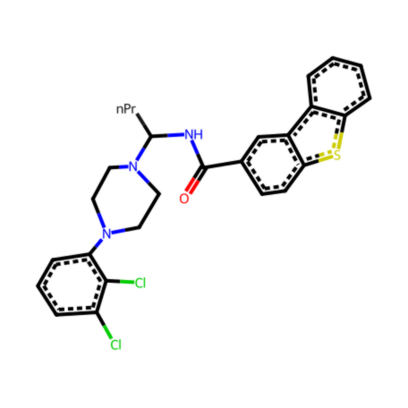 CCCC(NC(=O)c1ccc2sc3ccccc3c2c1)N1CCN(c2cccc(Cl)c2Cl)CC1